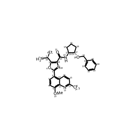 CC[C@H](N)c1oc(-c2ccc(OC)c3nc(C(F)(F)F)ccc23)nc1C(=O)N[C@H]1CCC[C@@H]1OCc1ccccc1